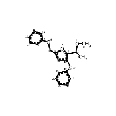 COC(C)c1oc(COc2ccccc2)cc1Oc1ccccc1